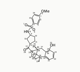 COc1ccc(S(=O)(=O)NC2CCC(C(=O)N3CC[C@@]4(C)c5cccc(O)c5C[C@@H]3C4(C)C)C2)cc1